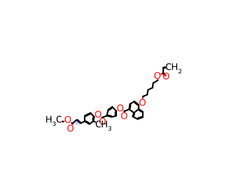 C=CC(=O)OCCCCCCOc1ccc(C(=O)Oc2ccc(C(=O)Oc3ccc(/C=C/C(=O)OCC)cc3C)cc2)c2ccccc12